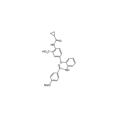 COc1ccc(C(=O)Nc2ccccc2Oc2ccc(NC(=O)C3CC3)c(C(=O)O)c2)cc1